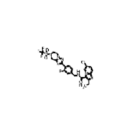 CCc1nc2ccc(Cl)cn2c1C(=O)NCc1ccc(-c2nc3n(n2)CCN(S(=O)(=O)C(F)(F)F)C3)c(F)c1